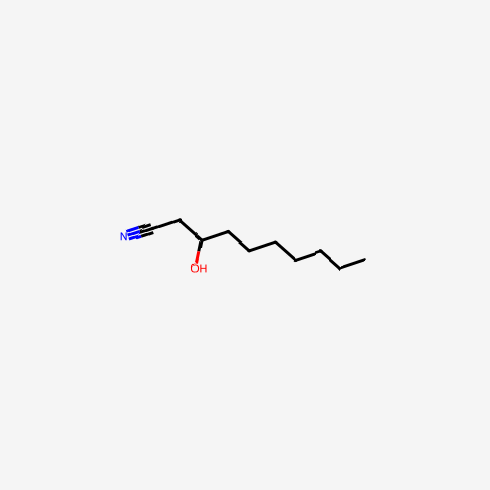 CCCCCCCC(O)CC#N